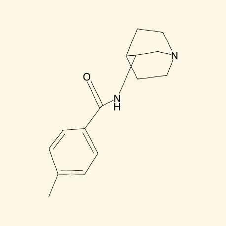 Cc1ccc(C(=O)NC2CN3CCC2CC3)cc1